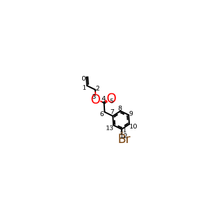 C=CCOC(=O)Cc1cccc(Br)c1